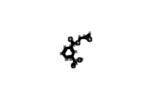 O=C(OCC1CO1)c1cccc([N+](=O)[O-])c1